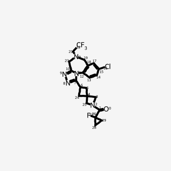 O=C(N1CC2(CC(c3nnc4n3-c3ccc(Cl)cc3CN(CC(F)(F)F)C4)C2)C1)C1(F)CC1